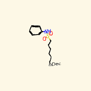 CCCCCCCCCCCCCCCCS(=O)(=O)Nc1ccccc1